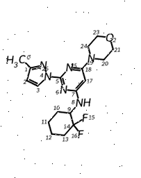 Cc1ccn(-c2nc(NC3CCCCC3(F)F)cc(N3CCOCC3)n2)n1